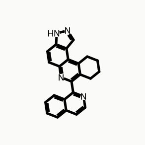 c1ccc2c(-c3nc4ccc5[nH]ncc5c4c4c3CCCC4)nccc2c1